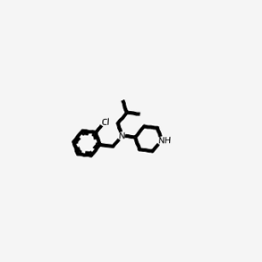 CC(C)CN(Cc1ccccc1Cl)C1CCNCC1